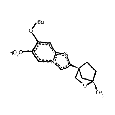 CCC(C)Oc1cc2nc([C@@]34CC[C@@](C)(C3)OC4)cn2cc1C(=O)O